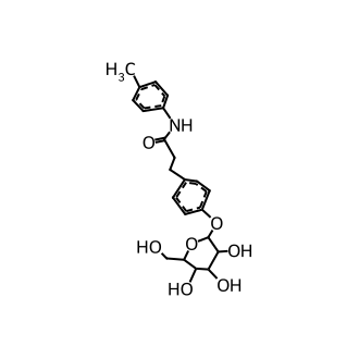 Cc1ccc(NC(=O)CCc2ccc(OC3OC(CO)C(O)C(O)C3O)cc2)cc1